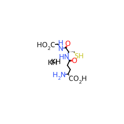 N[C@@H](CCC(=O)N[C@@H](CS)C(=O)NCC(=O)O)C(=O)O.[KH].[KH]